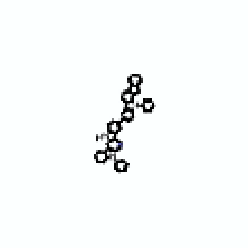 Cc1c(/C=C\c2c[nH]c3ccc(-c4ccc5c(c4)c4ccc6c(c4n5-c4ccccc4)Cc4ccccc4-6)cc23)n(-c2ccccc2)c2ccccc12